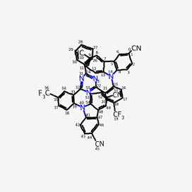 N#Cc1ccc2c(c1)c1cc(C#N)ccc1n2-c1ccc(C(F)(F)F)cc1-c1nc(-c2ccccc2)nc(-c2cc(C(F)(F)F)ccc2-n2c3ccc(C#N)cc3c3cc(C#N)ccc32)n1